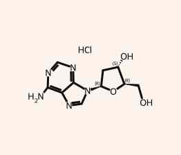 Cl.Nc1ncnc2c1ncn2[C@H]1C[C@H](O)[C@@H](CO)O1